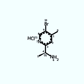 Cc1cc([C@H](C)N)ncc1Br.Cl